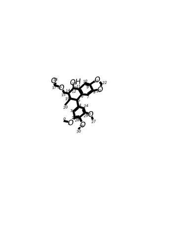 COc1cc(C2c3cc4c(cc3[C@H](O)C(COC=O)C2C)OCO4)cc(OC)c1OC